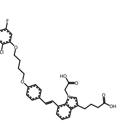 O=C(O)CCCc1cn(CC(=O)O)c2c(/C=C/c3ccc(OCCCCOc4cc(F)ccc4Cl)cc3)cccc12